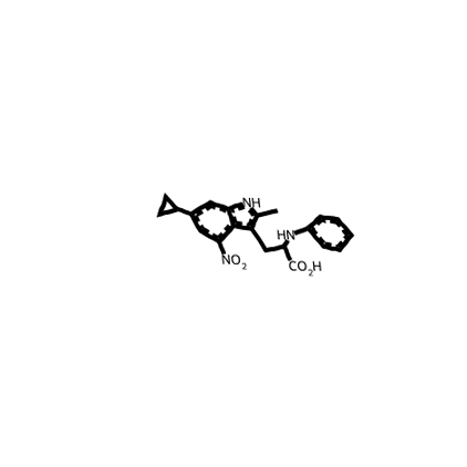 Cc1[nH]c2cc(C3CC3)cc([N+](=O)[O-])c2c1CC(Nc1ccccc1)C(=O)O